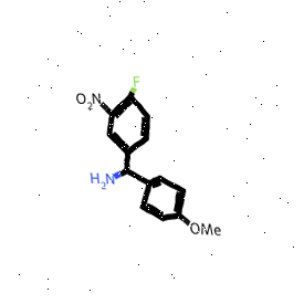 COc1ccc(C(N)c2ccc(F)c([N+](=O)[O-])c2)cc1